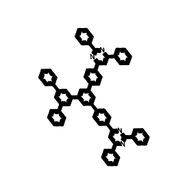 c1ccc(-c2cc(-c3ccccc3)cc(-c3cc(-c4ccc(-c5cc(-c6ccccc6)nc(-c6ccccc6)n5)cc4)cc(-c4ccc(-c5cc(-c6ccccc6)nc(-c6ccccc6)n5)cc4)c3)c2)cc1